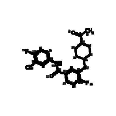 CC(=O)C1CCC(Sc2cc(C(=O)Nc3ccc(F)c(Cl)c3)ccc2F)CC1